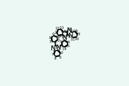 c1ccc(-c2nc3ccccc3n2-c2cccc(-n3c4ccccc4c4nc5ccccn5c43)c2)cc1